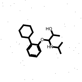 CC(C)NC(Oc1ccccc1C1CCCCC1)C(C)O